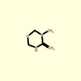 C=C1NCOCN1C